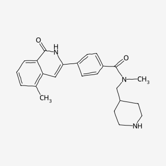 Cc1cccc2c(=O)[nH]c(-c3ccc(C(=O)N(C)CC4CCNCC4)cc3)cc12